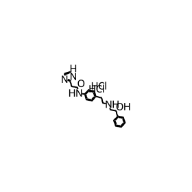 Cl.Cl.O=C(Cc1ncc[nH]1)Nc1ccc(CCNCC(O)c2ccccc2)cc1